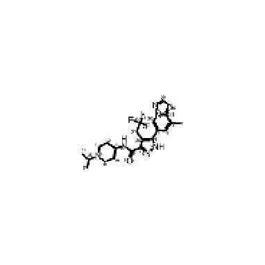 Cc1cc(-c2[nH]nc(C(=O)NC3CCN(C(C)C)CC3)c2CC(F)(F)F)cn2ncnc12